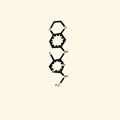 CNc1ncc(F)c(Nc2ccc3c(c2)OCCO3)n1